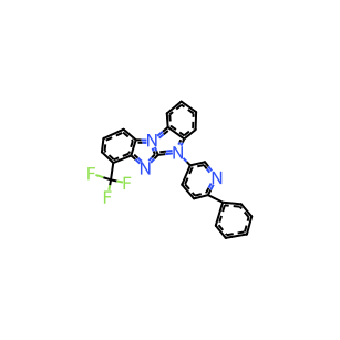 FC(F)(F)c1cccc2c1nc1n(-c3ccc(-c4ccccc4)nc3)c3ccccc3n21